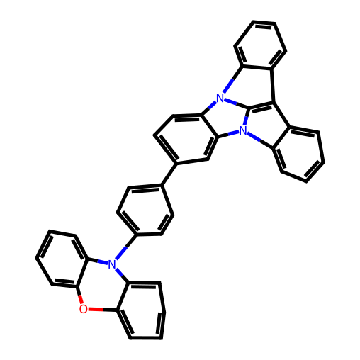 c1ccc2c(c1)Oc1ccccc1N2c1ccc(-c2ccc3c(c2)n2c4ccccc4c4c5ccccc5n3c42)cc1